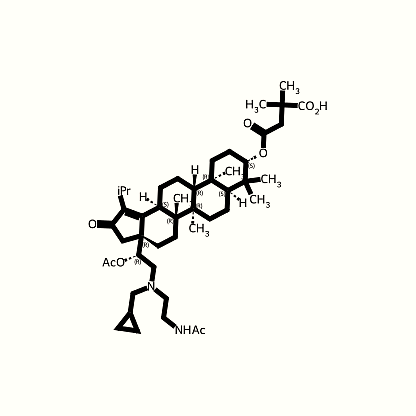 CC(=O)NCCN(CC1CC1)C[C@H](OC(C)=O)[C@@]12CC[C@]3(C)[C@H](CC[C@@H]4[C@@]5(C)CC[C@H](OC(=O)CC(C)(C)C(=O)O)C(C)(C)[C@H]5CC[C@]43C)C1=C(C(C)C)C(=O)C2